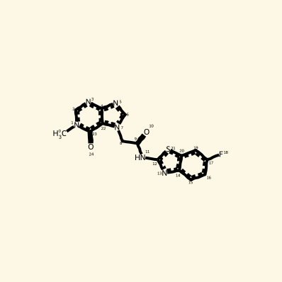 Cn1cnc2ncn(CC(=O)Nc3nc4ccc(F)cc4s3)c2c1=O